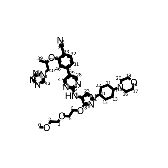 COCCOCCOc1nn(C2CCC(N3CCOCC3)CC2)cc1Nc1ncc(-c2ccc(C#N)c(OC(C)Cn3cnnn3)c2)cn1